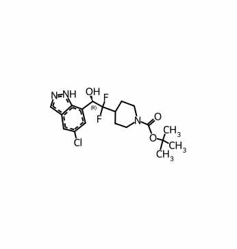 CC(C)(C)OC(=O)N1CCC(C(F)(F)[C@H](O)c2cc(Cl)cc3cn[nH]c23)CC1